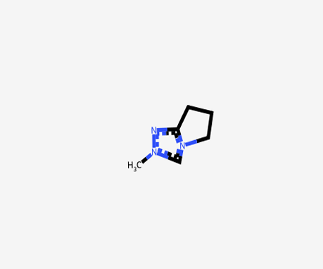 C[n+]1cn2c(n1)CCC2